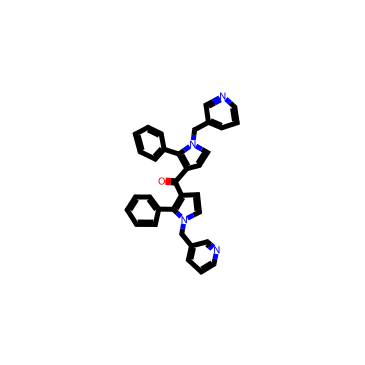 O=C(c1ccn(Cc2cccnc2)c1-c1ccccc1)c1ccn(Cc2cccnc2)c1-c1ccccc1